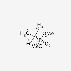 COP(=O)(OC)C(C)(C)C(C)C